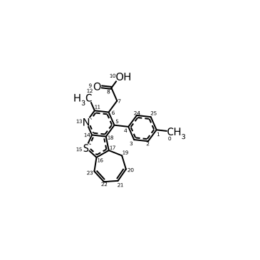 Cc1ccc(-c2c(CC(=O)O)c(C)nc3sc4c(c23)CC=CC=C4)cc1